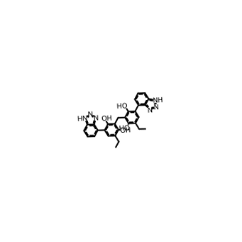 CCc1cc(-c2cccc3[nH]nnc23)c(O)c(Cc2c(O)c(CC)cc(-c3cccc4[nH]nnc34)c2O)c1O